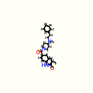 Cc1cc2cc(C(=O)N3CCC(N(C)CCc4ccccc4)CC3)ccc2[nH]c1=O